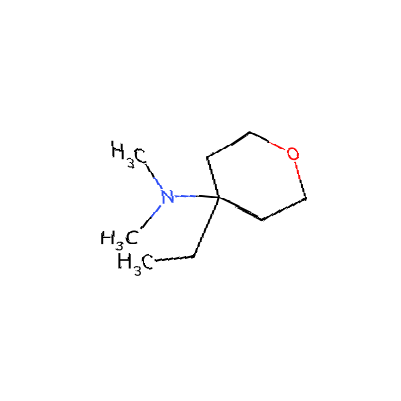 CCC1(N(C)C)CCOCC1